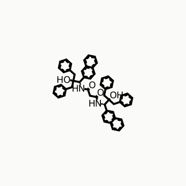 O=C(CC(=O)N[C@H](c1ccc2ccccc2c1)C(O)(Cc1ccccc1)Cc1ccccc1)N[C@H](c1ccc2ccccc2c1)C(O)(Cc1ccccc1)Cc1ccccc1